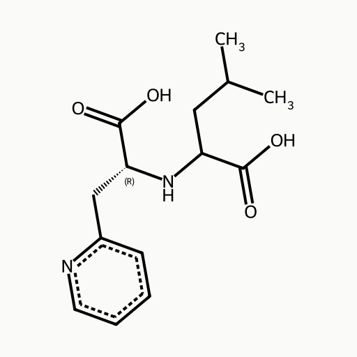 CC(C)CC(N[C@H](Cc1ccccn1)C(=O)O)C(=O)O